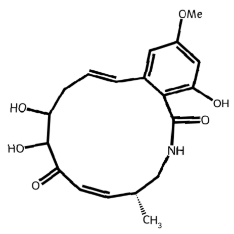 COc1cc(O)c2c(c1)/C=C/CC(O)C(O)C(=O)/C=C\[C@@H](C)CNC2=O